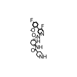 COc1cc(F)ccc1-c1cc(NC(=O)[C@H]2CCC[C@@H](NC(=O)C3CCNCC3)C2)ncc1F